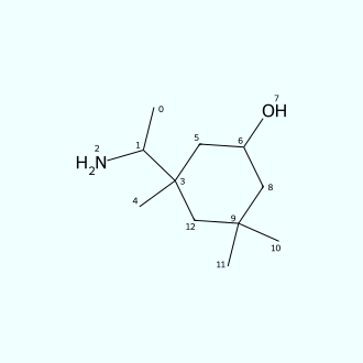 CC(N)C1(C)CC(O)CC(C)(C)C1